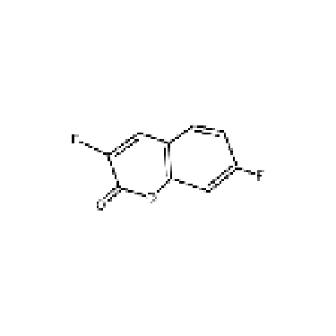 O=c1oc2cc(F)ccc2cc1F